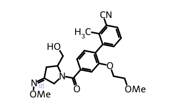 COCCOc1cc(C(=O)N2C/C(=N\OC)CC2CO)ccc1-c1cccc(C#N)c1C